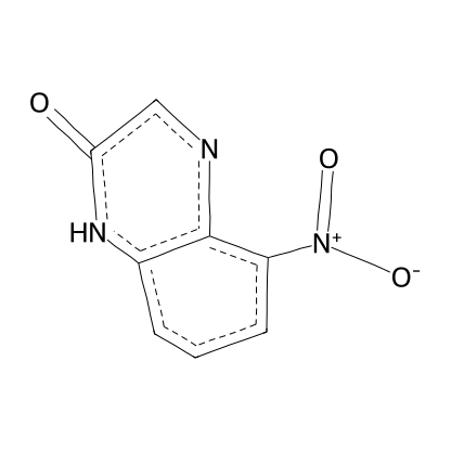 O=c1cnc2c([N+](=O)[O-])cccc2[nH]1